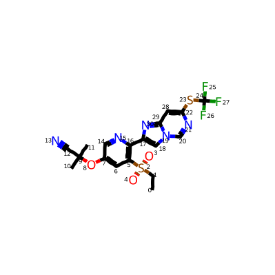 CCS(=O)(=O)c1cc(OC(C)(C)C#N)cnc1-c1cn2cnc(SC(F)(F)F)cc2n1